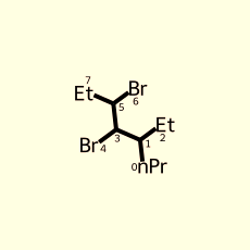 CCCC(CC)C(Br)C(Br)CC